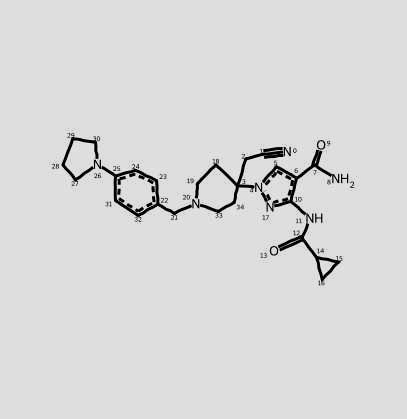 N#CCC1(n2cc(C(N)=O)c(NC(=O)C3CC3)n2)CCN(Cc2ccc(N3CCCC3)cc2)CC1